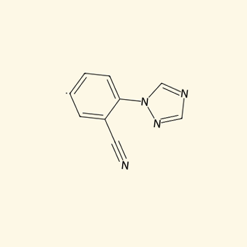 N#Cc1c[c]ccc1-n1cncn1